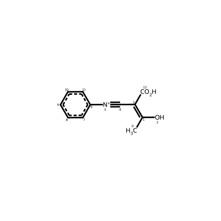 C/C(O)=C(\C#[N+]c1ccccc1)C(=O)O